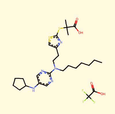 CCCCCCCN(CCc1csc(SC(C)(C)C(=O)O)n1)c1ncc(NC2CCCC2)cn1.O=C(O)C(F)(F)F